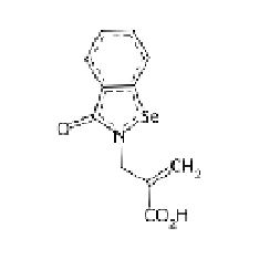 C=C(Cn1[se]c2ccccc2c1=O)C(=O)O